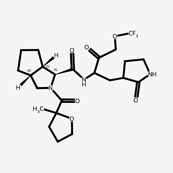 CC1(C(=O)N2C[C@@H]3CCC[C@@H]3[C@H]2C(=O)NC(CC2CCNC2=O)C(=O)COC(F)(F)F)CCCO1